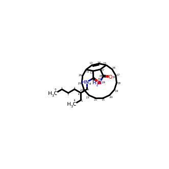 CCCCC(CC)CNC(=O)C1C2C=CC(CCCCCCCCCCC2)C1C(N)=O